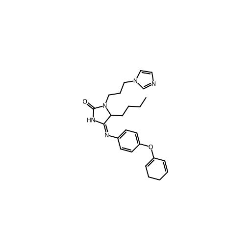 CCCCC1/C(=N\c2ccc(OC3=CCCC=C3)cc2)NC(=O)N1CCCn1ccnc1